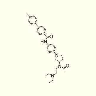 CCN(CC)CCN(C(C)=O)C1CCN(c2ccc(NC(=O)c3ccc(-c4ccc(C)cc4)cc3)cc2)C1